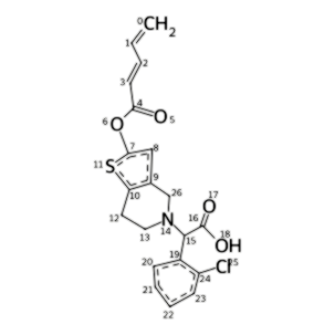 C=C/C=C/C(=O)Oc1cc2c(s1)CCN(C(C(=O)O)c1ccccc1Cl)C2